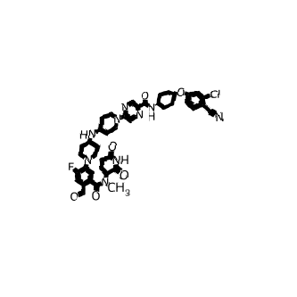 CN(C(=O)c1cc(N2CCC(NC3CCN(c4cnc(C(=O)N[C@H]5CC[C@H](Oc6ccc(C#N)c(Cl)c6)CC5)cn4)CC3)CC2)c(F)cc1C=O)C1CCC(=O)NC1=O